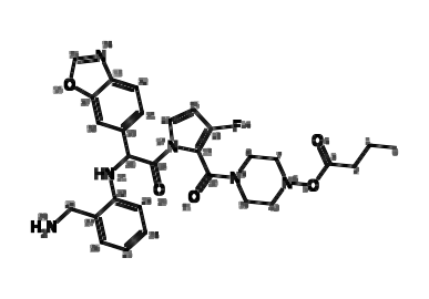 CCCC(=O)ON1CCN(C(=O)c2c(F)ccn2C(=O)C(Nc2ccccc2CN)c2ccc3ncoc3c2)CC1